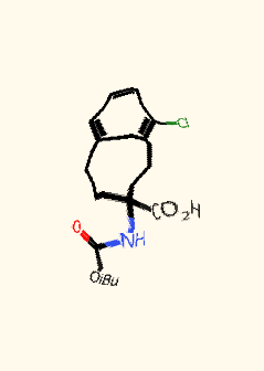 CC(C)COC(=O)NC1(C(=O)O)CCc2cccc(Cl)c2C1